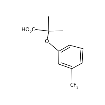 CC(C)(Oc1cccc(C(F)(F)F)c1)C(=O)O